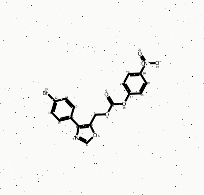 O=C(OCc1ocnc1-c1ccc(Br)cc1)Oc1ccc([N+](=O)[O-])cc1